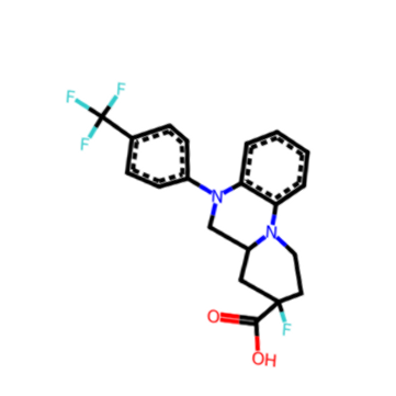 O=C(O)C1(F)CCN2c3ccccc3N(c3ccc(C(F)(F)F)cc3)CC2C1